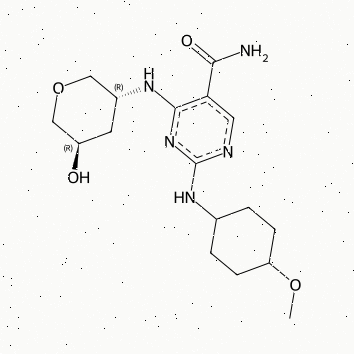 COC1CCC(Nc2ncc(C(N)=O)c(N[C@H]3COC[C@H](O)C3)n2)CC1